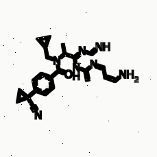 C=C(/N=C\C=C/N)N/C(=N\C=N)C(C)N(CC1CC1)C(=O)c1ccc(C2(C#N)CC2)cc1